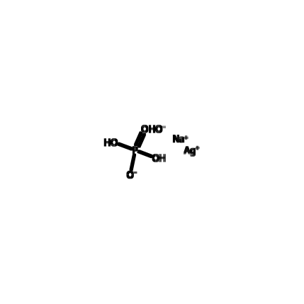 O=P([O-])(O)O.[Ag+].[Na+].[OH-]